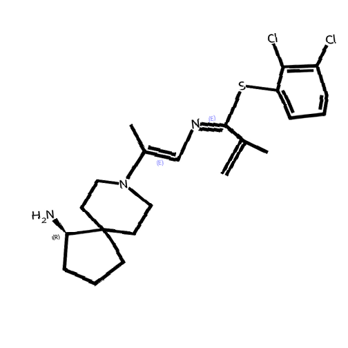 C=C(C)/C(=N\C=C(/C)N1CCC2(CCC[C@H]2N)CC1)Sc1cccc(Cl)c1Cl